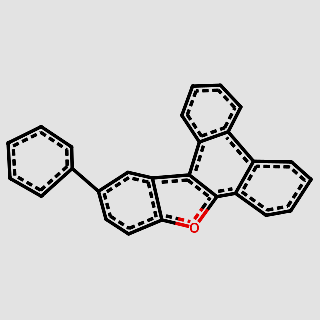 c1ccc(-c2ccc3oc4c5ccccc5c5ccccc5c4c3c2)cc1